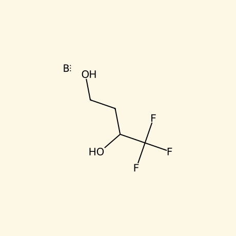 OCCC(O)C(F)(F)F.[B]